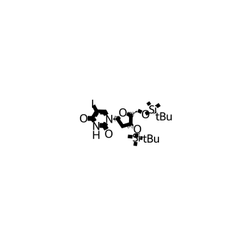 CC(C)(C)[Si](C)(C)OC[C@H]1O[C@@H](n2cc(I)c(=O)[nH]c2=O)C[C@H]1O[Si](C)(C)C(C)(C)C